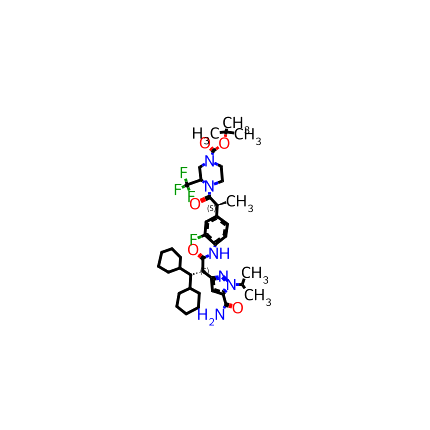 CC(C)n1nc([C@@H](C(=O)Nc2ccc([C@H](C)C(=O)N3CCN(C(=O)OC(C)(C)C)CC3C(F)(F)F)cc2F)C(C2CCCCC2)C2CCCCC2)cc1C(N)=O